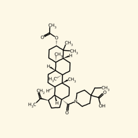 C=C(C)[C@@H]1CC[C@]2(C(=O)N3CCC(CC)(C(=O)O)CC3)CC[C@]3(C)[C@H](CC[C@@H]4[C@@]5(C)CC[C@H](OC(C)=O)C(C)(C)[C@@H]5CC[C@]43C)[C@@H]12